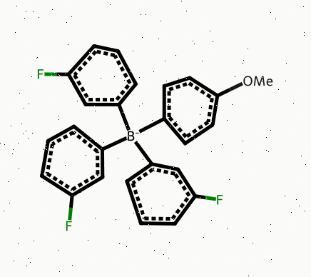 COc1ccc([B-](c2cccc(F)c2)(c2cccc(F)c2)c2cccc(F)c2)cc1